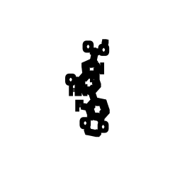 COC(=O)c1cc2c(=O)[nH]c(-c3ccc4c(c3F)OCCO4)cn2n1